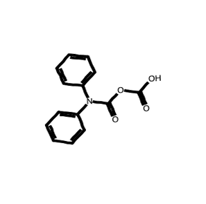 O=C(O)OC(=O)N(c1ccccc1)c1ccccc1